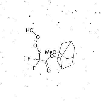 COC12CC3CC(C1)C(OC(=O)C(F)(F)SOOO)C(C3)C2